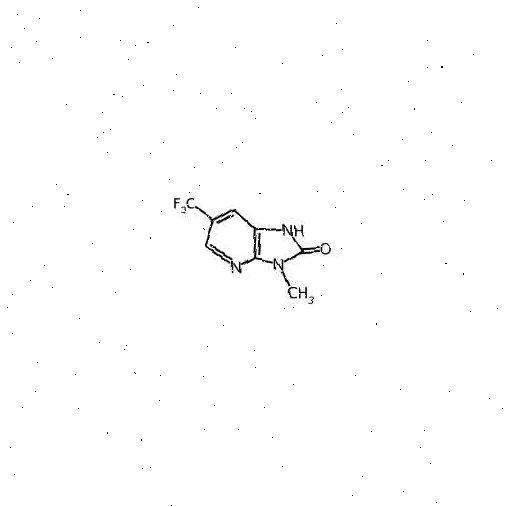 Cn1c(=O)[nH]c2cc(C(F)(F)F)cnc21